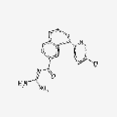 NC(N)=NC(=O)c1ccc2cccc(-c3ccc(Cl)cn3)c2c1